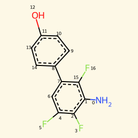 Nc1c(F)c(F)cc(-c2ccc(O)cc2)c1F